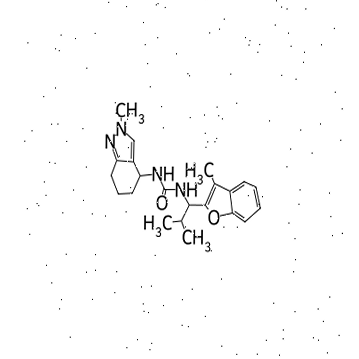 Cc1c(C(NC(=O)NC2CCCc3nn(C)cc32)C(C)C)oc2ccccc12